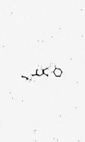 O=C(O)N[C@@H]1CCCC[C@H]1N1Cc2ncc(-c3nnc(C(F)F)o3)cc2C1=O